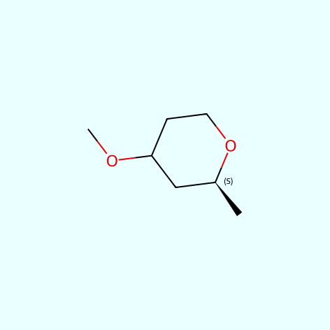 COC1CCO[C@@H](C)C1